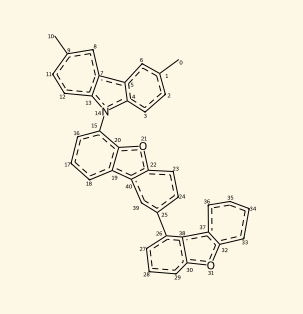 Cc1ccc2c(c1)c1cc(C)ccc1n2-c1cccc2c1oc1ccc(-c3cccc4oc5ccccc5c34)cc12